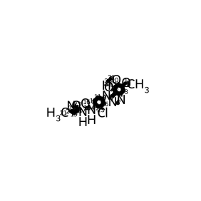 COc1cc2ncnc(Nc3ccc(NC(=O)Nc4cc(C)no4)c(Cl)c3)c2c2c1OCCO2